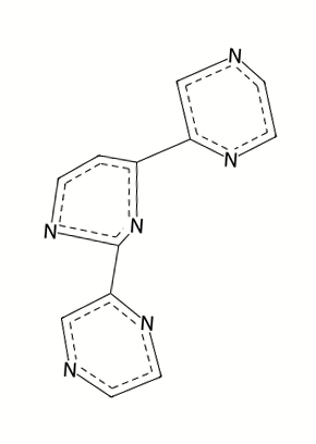 c1cnc(-c2ccnc(-c3cnccn3)n2)cn1